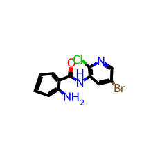 Nc1ccccc1C(=O)Nc1cc(Br)cnc1Cl